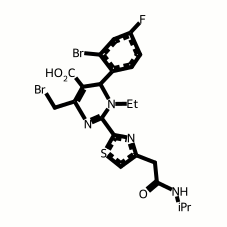 CCN1C(c2nc(CC(=O)NC(C)C)cs2)=NC(CBr)=C(C(=O)O)C1c1ccc(F)cc1Br